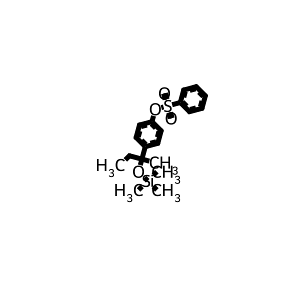 CCC(C)(O[Si](C)(C)C)c1ccc(OS(=O)(=O)c2ccccc2)cc1